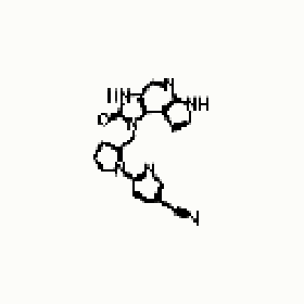 N#Cc1ccc(N2CCCC2Cn2c(=O)[nH]c3cnc4[nH]ccc4c32)nc1